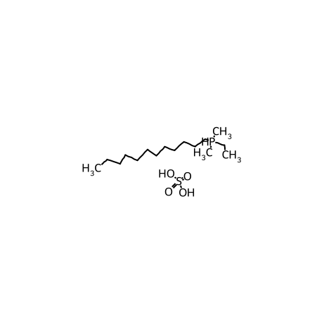 CCCCCCCCCCCC[PH](C)(C)CC.O=S(=O)(O)O